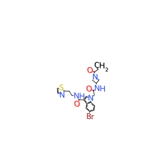 C=CC(=O)N1CC(NC(=O)Cn2cc(C(=O)NCCc3nccs3)c3cc(Br)ccc32)C1